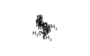 CCCC1(CCC)CC(O)=C([C@H](CC)c2cccc(NS(=O)(=O)c3cc(C(F)(F)F)ccn3)c2)C(=O)O1